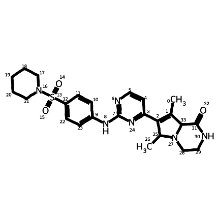 CC1=C(c2ccnc(Nc3ccc(S(=O)(=O)N4CCCCC4)cc3)n2)C(C)N2CCNC(=O)C12